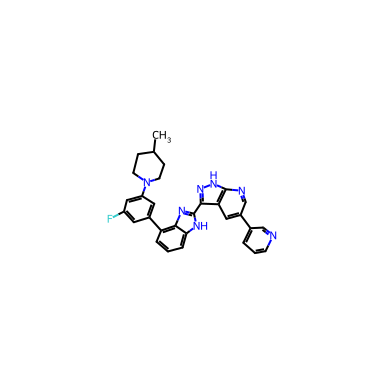 CC1CCN(c2cc(F)cc(-c3cccc4[nH]c(-c5n[nH]c6ncc(-c7cccnc7)cc56)nc34)c2)CC1